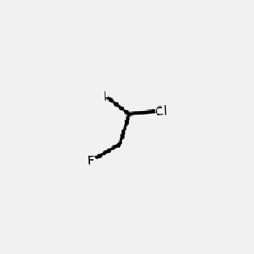 FCC(Cl)I